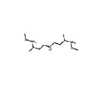 CO[SiH2]C(C)CCNCCC(C)[SiH2]OC